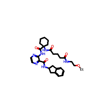 CCOCCNC(=O)CCCC(=O)NC1(C(=O)Nc2nccnc2C(=O)NC2Cc3ccccc3C2)CCCCC1